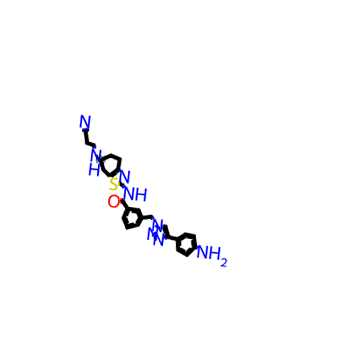 N#CCCN[C@H]1CCc2nc(NC(=O)c3cccc(Cn4cc(-c5ccc(N)cc5)nn4)c3)sc2C1